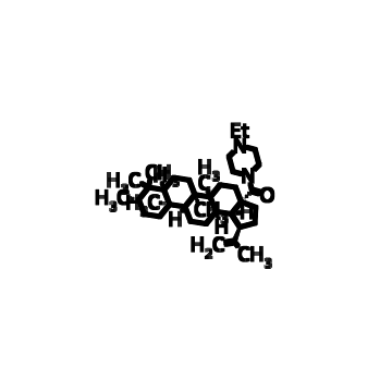 C=C(C)[C@@H]1CC[C@]2(C(=O)N3CCN(CC)CC3)CC[C@]3(C)[C@H](CC[C@@H]4[C@@]5(C)CC[C@H](C)C(C)(C)[C@@H]5CC[C@]43C)[C@@H]12